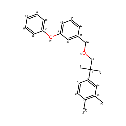 CCc1ccc(C(C)(C)COCc2cccc(Oc3ccccc3)c2)cc1C